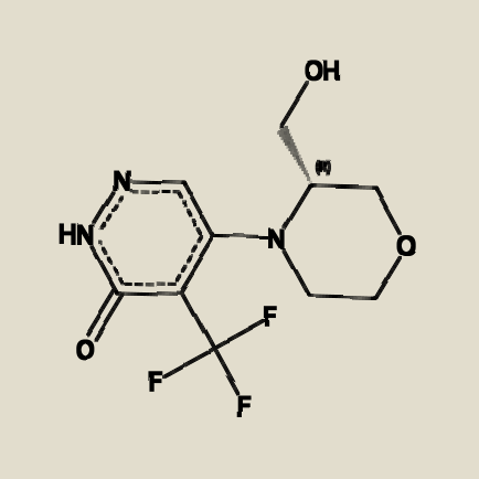 O=c1[nH]ncc(N2CCOC[C@H]2CO)c1C(F)(F)F